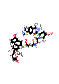 Cc1ncsc1-c1ccc([C@H](C)NC(=O)[C@@H]2C[C@@H](O)CN2C(=O)[C@@H](NC(=O)COCC(=O)S[C@@H]2CC3=CC(=O)CCC3(C)C3CCC(C)([C@@]4(C)CCC(=O)O4)CC32)C(C)(C)C)cc1